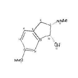 CN[C@H]1Cc2ccc(OC)cc2[C@H]1O